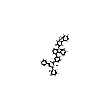 C1=C(c2ccccc2)N=C(c2cccc(-c3cccc4c3c3ccccc3n4-c3ccc4sc5ccccc5c4c3)c2)NC1c1ccccc1